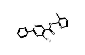 Cc1cccnc1NC(=O)c1cnc(-c2ccccc2)nc1N